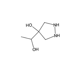 CC(O)C1(O)CNNC1